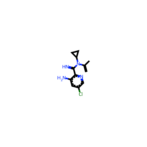 C=C(C)N(C(=N)c1ncc(Cl)cc1N)C1CC1